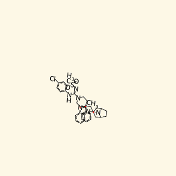 Cc1nc2ccccc2n1C1CC2CCC(C1)N2CCC1(c2ccccc2)CCN(/C(=N/S(C)(=O)=O)Nc2ccc(Cl)cc2)CC1